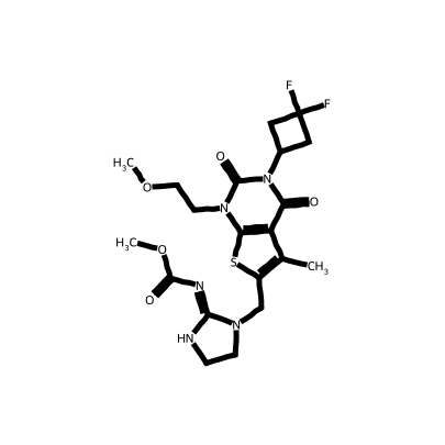 COCCn1c(=O)n(C2CC(F)(F)C2)c(=O)c2c(C)c(CN3CCNC3=NC(=O)OC)sc21